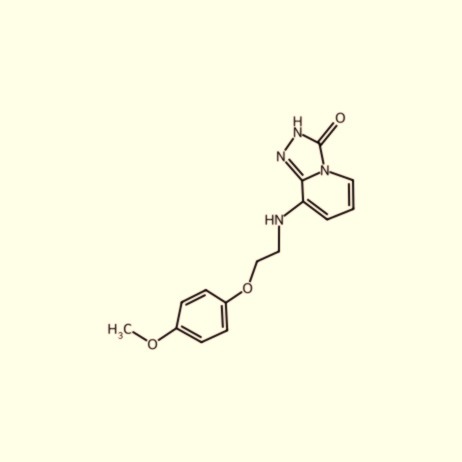 COc1ccc(OCCNc2cccn3c(=O)[nH]nc23)cc1